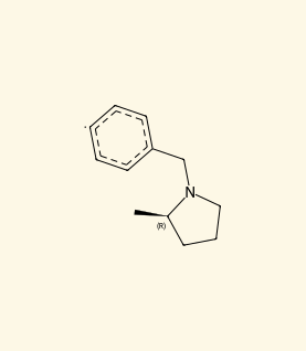 C[C@@H]1CCCN1Cc1cc[c]cc1